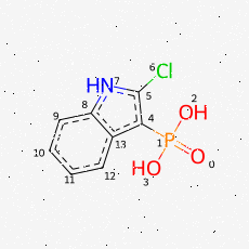 O=P(O)(O)c1c(Cl)[nH]c2ccccc12